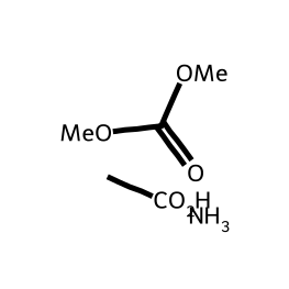 CC(=O)O.COC(=O)OC.N